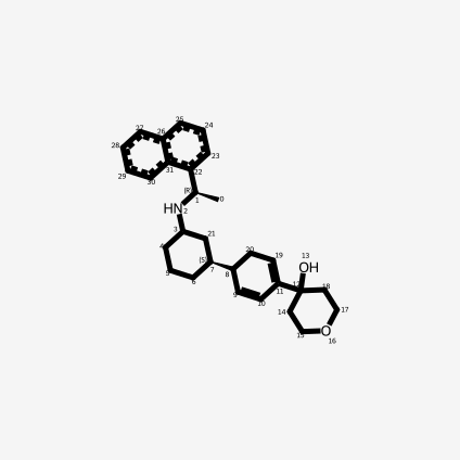 C[C@@H](NC1CCC[C@H](C2C=CC(C3(O)CCOCC3)=CC2)C1)c1cccc2ccccc12